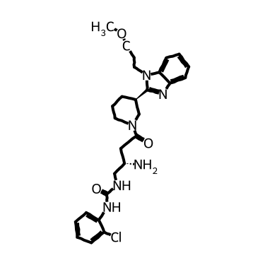 COCCCn1c([C@@H]2CCCN(C(=O)C[C@H](N)CNC(=O)Nc3ccccc3Cl)C2)nc2ccccc21